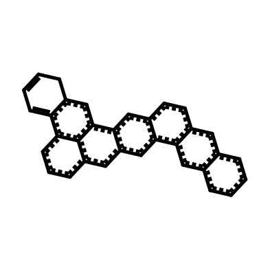 C1=CCc2cc3c4cc5ccc6cc7ccccc7cc6c5cc4cc4cccc(c2=C1)c43